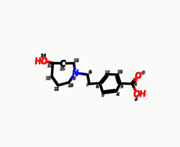 O=C(O)c1ccc(CCN2CCCC(O)CC2)cc1